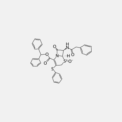 O=C(Cc1ccccc1)N[C@@H]1C(=O)N2C(C(=O)OC(c3ccccc3)c3ccccc3)=C(Sc3ccccc3)C[S+]([O-])[C@H]12